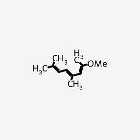 COC(C)=CC(C)=CC=C(C)C